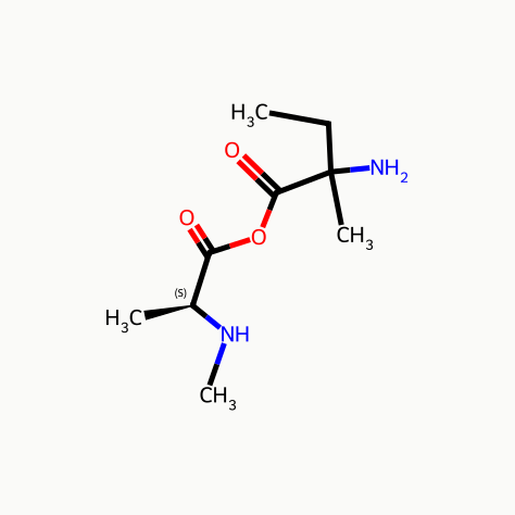 CCC(C)(N)C(=O)OC(=O)[C@H](C)NC